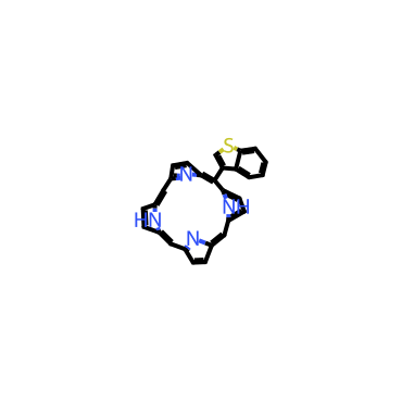 C1=Cc2cc3ccc([nH]3)c(-c3csc4ccccc34)c3nc(cc4ccc(cc1n2)[nH]4)C=C3